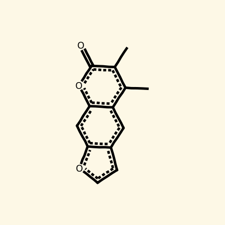 Cc1c(C)c2cc3ccoc3cc2oc1=O